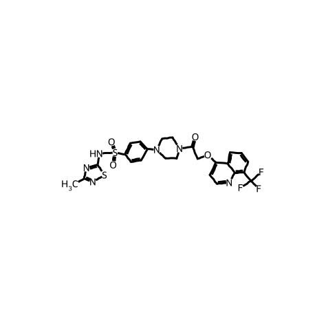 Cc1nsc(NS(=O)(=O)c2ccc(N3CCN(C(=O)COc4ccnc5c(C(F)(F)F)cccc45)CC3)cc2)n1